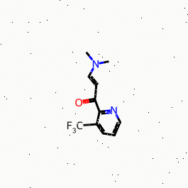 CN(C)C=CC(=O)c1ncccc1C(F)(F)F